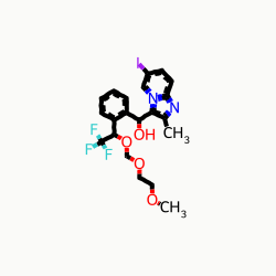 COCCOCOC(c1ccccc1C(O)c1c(C)nc2ccc(I)cn12)C(F)(F)F